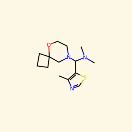 Cc1ncsc1C(N(C)C)N1CCOC2(CCC2)C1